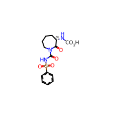 O=C(O)N[C@H]1CCCCN(C(=O)NS(=O)(=O)c2ccccc2)C1=O